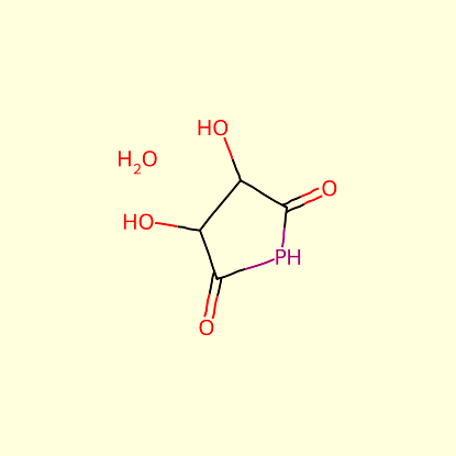 O.O=C1PC(=O)C(O)C1O